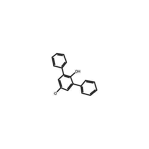 [O]c1cc(-c2ccccc2)c(O)c(-c2ccccc2)c1